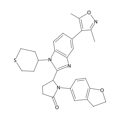 Cc1noc(C)c1-c1ccc2c(c1)nc(C1CCC(=O)N1c1ccc3c(c1)CCO3)n2C1CCSCC1